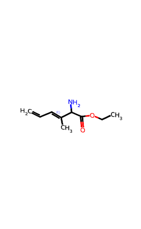 C=C/C=C(\C)C(N)C(=O)OCC